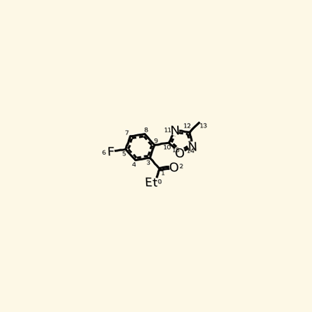 CCC(=O)c1cc(F)ccc1-c1nc(C)no1